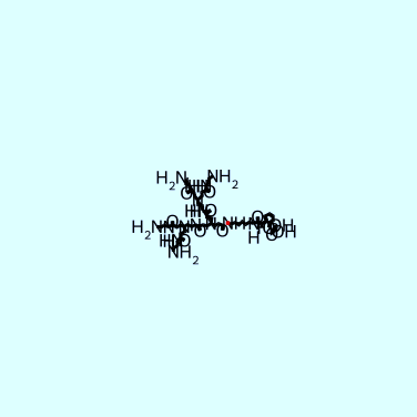 NCCNC(=O)CCN(CCNC(=O)CCN(CCC(=O)NCCCCCCNC(=O)C(F)c1ccccc1OP(=O)(O)O)CCC(=O)NCCN(CCC(=O)NCCN)CCC(=O)NCCN)CCC(=O)NCCN